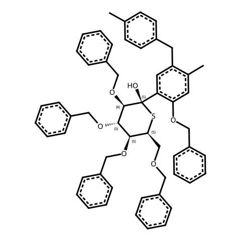 Cc1ccc(Cc2cc([C@]3(O)S[C@@H](COCc4ccccc4)[C@@H](OCc4ccccc4)[C@H](OCc4ccccc4)[C@H]3OCc3ccccc3)c(OCc3ccccc3)cc2C)cc1